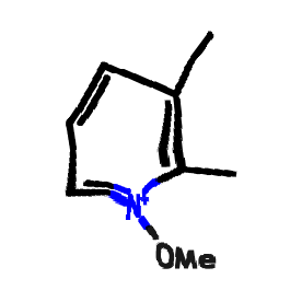 CO[n+]1cccc(C)c1C